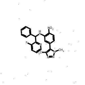 Cc1nnn(C)c1-c1ccc([N+](=O)[O-])c(NC(c2ccccc2)c2ncccc2F)c1